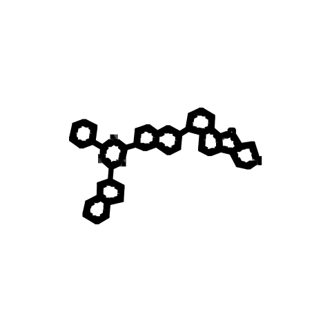 c1ccc(-c2nc(-c3ccc4ccccc4c3)nc(-c3ccc4cc(-c5cccc6c5ccc5c7ccncc7oc65)ccc4c3)n2)cc1